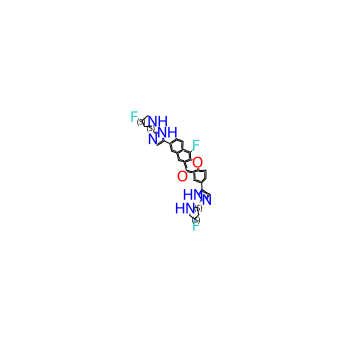 O=c1c2cc(-c3cnc([C@@H]4C[C@H](F)CN4)[nH]3)ccc2oc2c(F)c3ccc(-c4cnc([C@@H]5C[C@H](F)CN5)[nH]4)cc3cc12